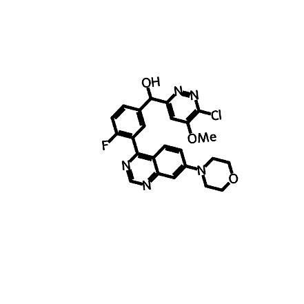 COc1cc(C(O)c2ccc(F)c(-c3ncnc4cc(N5CCOCC5)ccc34)c2)nnc1Cl